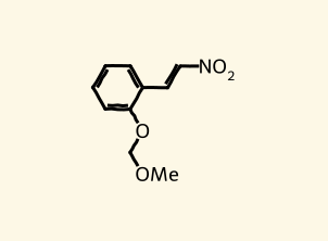 COCOc1ccccc1C=C[N+](=O)[O-]